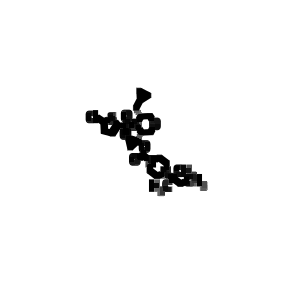 CCC(C)(C)N1CCN(C(=O)OC2([C@H]3COC[C@@H](CC4CC4)N3S(=O)(=O)c3ccc(Cl)s3)CC2)CC1